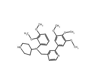 COc1cc(-c2cc(CN(c3cccc(OC)c3OC)C3CCNCC3)ccn2)cc(OC)c1OC